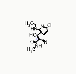 CCNc1nc(Cl)ccc1/C(O)=C(\C#N)C(=O)NC